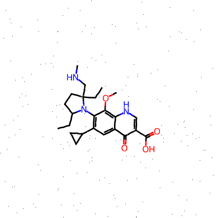 CCC1CCC(CC)(CNC)N1c1c(C2CC2)cc2c(=O)c(C(=O)O)c[nH]c2c1OC